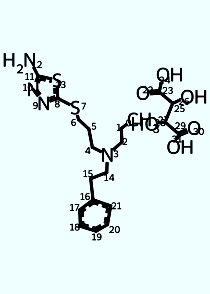 CCCN(CCCSc1nnc(N)s1)CCc1ccccc1.O=C(O)C(O)C(O)C(=O)O